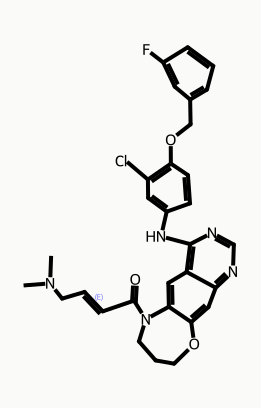 CN(C)C/C=C/C(=O)N1CCCOc2cc3ncnc(Nc4ccc(OCc5cccc(F)c5)c(Cl)c4)c3cc21